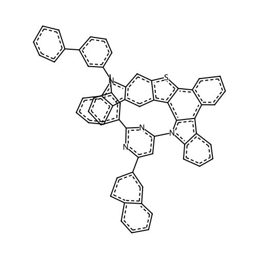 Cc1cccc(-c2nc(-c3ccc4ccccc4c3)cc(-n3c4ccccc4c4c5ccccc5c5sc6cc7c(cc6c5c43)c3ccccc3n7-c3cccc(-c4ccccc4)c3)n2)c1